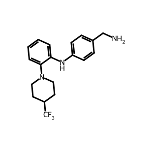 NCc1ccc(Nc2ccccc2N2CCC(C(F)(F)F)CC2)cc1